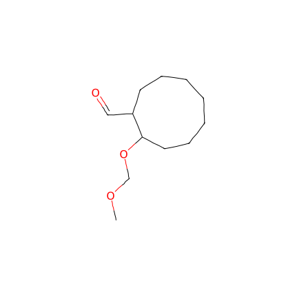 COCOC1CCCCCCCC1C=O